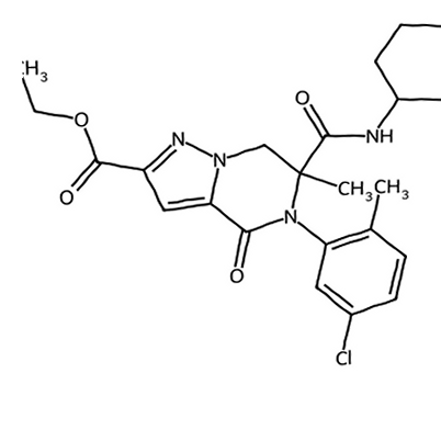 CCOC(=O)c1cc2n(n1)CC(C)(C(=O)NC1CCCCC1)N(c1cc(Cl)ccc1C)C2=O